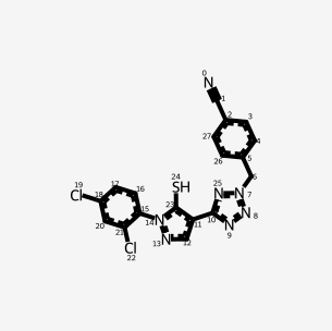 N#Cc1ccc(Cn2nnc(-c3cnn(-c4ccc(Cl)cc4Cl)c3S)n2)cc1